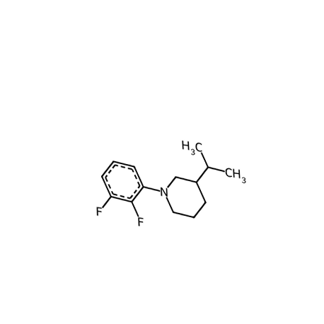 CC(C)C1CCCN(c2cccc(F)c2F)C1